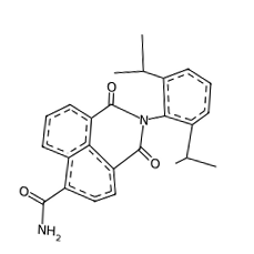 CC(C)c1cccc(C(C)C)c1N1C(=O)c2cccc3c(C(N)=O)ccc(c23)C1=O